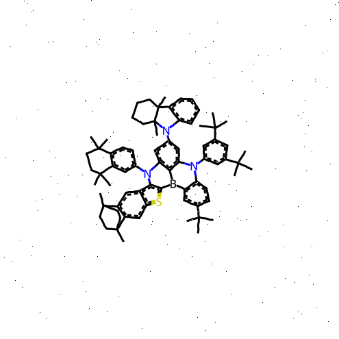 CC(C)(C)c1cc(N2c3ccc(C(C)(C)C)cc3B3c4sc5cc6c(cc5c4N(c4ccc5c(c4)C(C)(C)CCC5(C)C)c4cc(N5c7ccccc7C7(C)CCCCC57C)cc2c43)C2(C)CCC6(C)CC2)cc(C(C)(C)C)c1